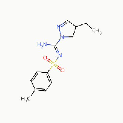 CCC1C=NN(/C(N)=N/S(=O)(=O)c2ccc(C)cc2)C1